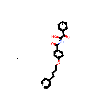 O=C(NC(O)C(=O)c1ccccc1)c1ccc(OCCCCc2ccccc2)cc1